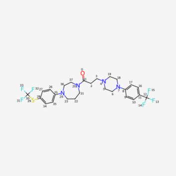 O=C(CCN1CCN(c2ccc(C(F)(F)F)cc2)CC1)N1CCCN(c2ccc(SC(F)(F)F)cc2)CC1